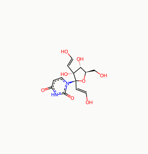 O=c1ccn([C@]2(C=CO)O[C@H](CO)[C@@H](O)[C@]2(O)C=CO)c(=O)[nH]1